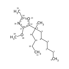 CCCCCCC(C)(CCCC)c1oc(C)nc1OC